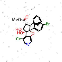 COC(=O)[C@H]1[C@@H](O)[C@@]2(O)c3c(Cl)cncc3O[C@@]2(c2ccc(Br)cc2)[C@@H]1c1ccccc1